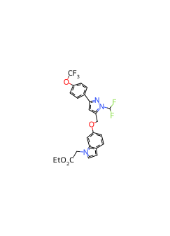 CCOC(=O)Cn1ccc2ccc(OCc3cc(-c4ccc(OC(F)(F)F)cc4)nn3C(F)F)cc21